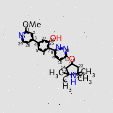 COc1cc(-c2ccc(-c3ccc(OC4CC(C)(C)NC(C)(C)C4)nn3)c(O)c2)ccn1